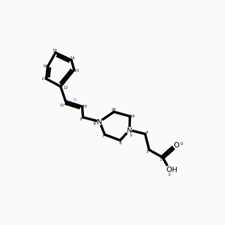 O=C(O)CCN1CCN(C/C=C/c2ccccc2)CC1